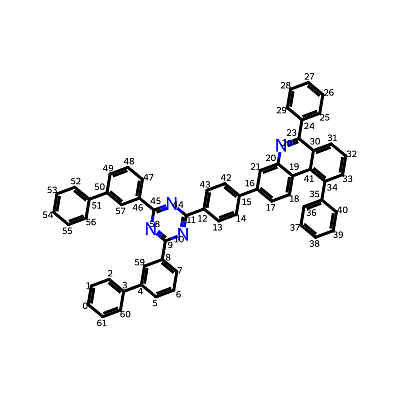 c1ccc(-c2cccc(-c3nc(-c4ccc(-c5ccc6c(c5)nc(-c5ccccc5)c5cccc(-c7ccccc7)c56)cc4)nc(-c4cccc(-c5ccccc5)c4)n3)c2)cc1